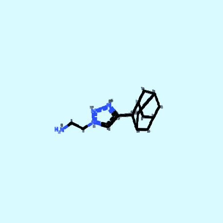 NCCn1cc(C2C3CC4CC(C3)CC2C4)nn1